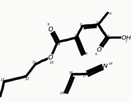 C=C(C=C(C)C(=O)O)C(=O)OCCCC.C=CC#N